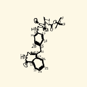 CC(C)(C)OC(=O)NS(=O)(=O)Nc1ccc(Cc2n[nH]c(=O)c3ccccc23)cc1